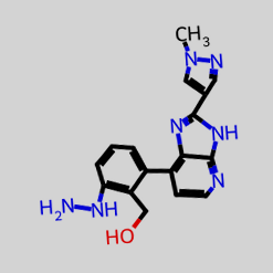 Cn1cc(-c2nc3c(-c4cccc(NN)c4CO)ccnc3[nH]2)cn1